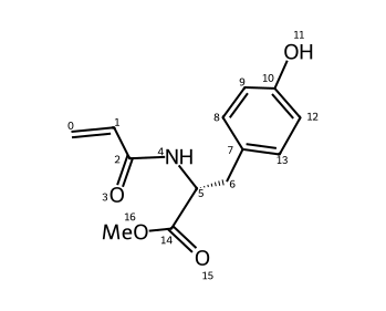 C=CC(=O)N[C@H](Cc1ccc(O)cc1)C(=O)OC